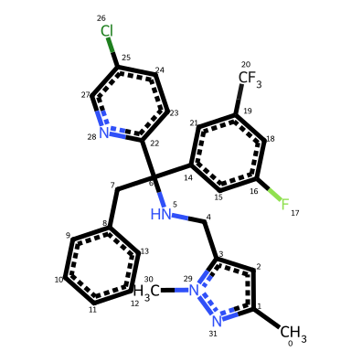 Cc1cc(CNC(Cc2ccccc2)(c2cc(F)cc(C(F)(F)F)c2)c2ccc(Cl)cn2)n(C)n1